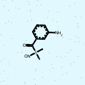 CS(C)(N=O)C(=O)c1cccc(N)c1